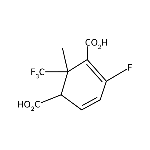 CC1(C(F)(F)F)C(C(=O)O)=C(F)C=CC1C(=O)O